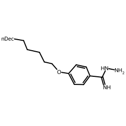 CCCCCCCCCCCCCCCOc1ccc(C(=N)NN)cc1